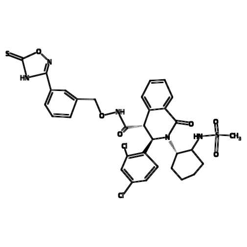 CS(=O)(=O)NC1CCCC[C@@H]1N1C(=O)c2ccccc2[C@@H](C(=O)NOCc2cccc(-c3noc(=S)[nH]3)c2)[C@@H]1c1ccc(Cl)cc1Cl